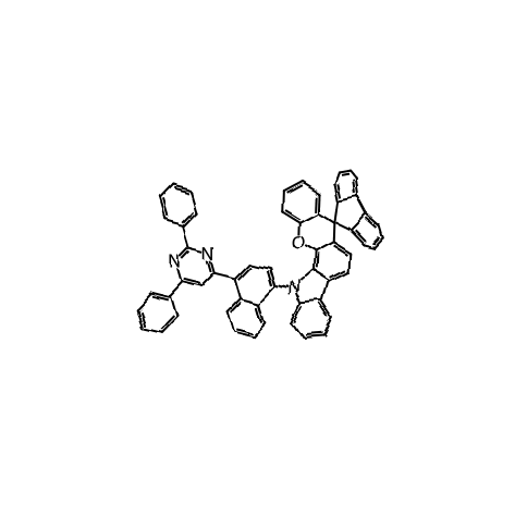 c1ccc(-c2cc(-c3ccc(-n4c5ccccc5c5ccc6c(c54)Oc4ccccc4C64c5ccccc5-c5ccccc54)c4ccccc34)nc(-c3ccccc3)n2)cc1